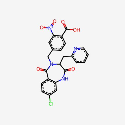 O=C(O)c1ccc(CN2C(=O)c3ccc(Cl)cc3NC(=O)C2Cc2ccccn2)cc1[N+](=O)[O-]